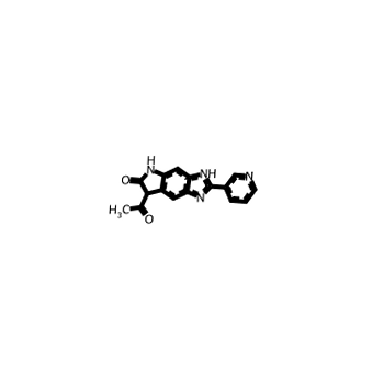 CC(=O)C1C(=O)Nc2cc3[nH]c(-c4cccnc4)nc3cc21